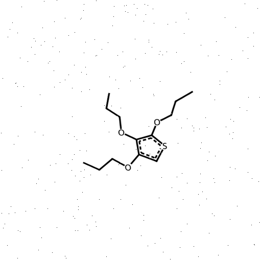 CCCOc1csc(OCCC)c1OCCC